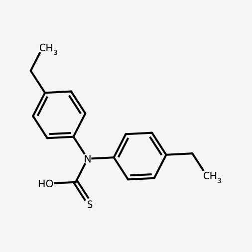 CCc1ccc(N(C(O)=S)c2ccc(CC)cc2)cc1